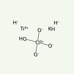 [H-].[H-].[KH].[O-][Cl+3]([O-])([O-])O.[Ti+4]